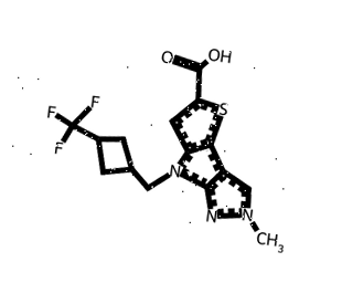 Cn1cc2c3sc(C(=O)O)cc3n(CC3CC(C(F)(F)F)C3)c2n1